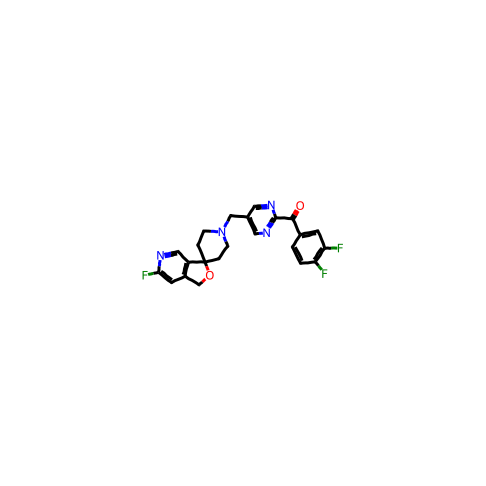 O=C(c1ccc(F)c(F)c1)c1ncc(CN2CCC3(CC2)OCc2cc(F)ncc23)cn1